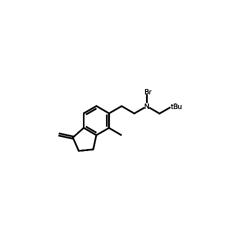 C=C1CCc2c1ccc(CCN(Br)CC(C)(C)C)c2C